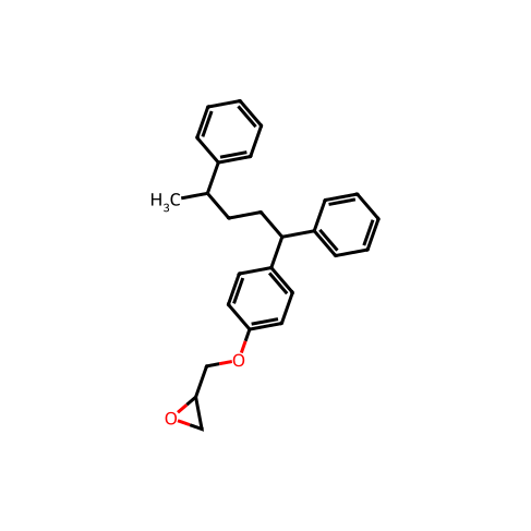 CC(CCC(c1ccccc1)c1ccc(OCC2CO2)cc1)c1ccccc1